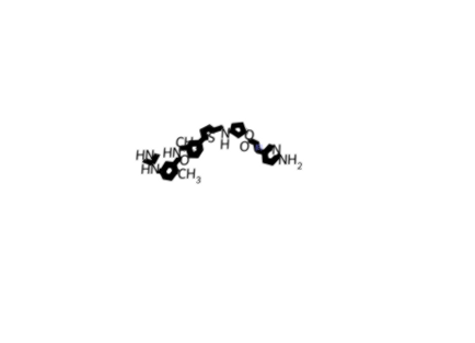 Cc1ccc(NC2CNC2)cc1C(=O)N[C@H](C)c1cccc(-c2ccc(CN[C@H]3CC[C@@H](OC(=O)/C=C/c4ccc(N)nc4)C3)s2)c1